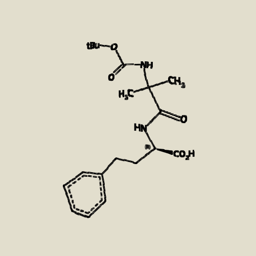 CC(C)(C)OC(=O)NC(C)(C)C(=O)N[C@H](CCc1ccccc1)C(=O)O